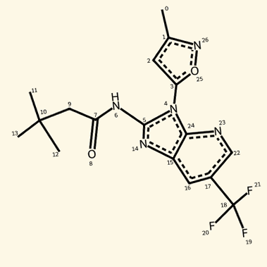 Cc1cc(-n2c(NC(=O)CC(C)(C)C)nc3cc(C(F)(F)F)cnc32)on1